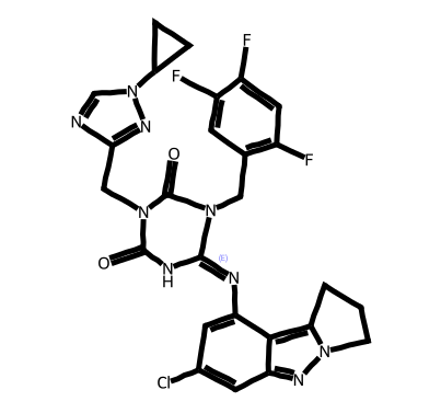 O=c1[nH]/c(=N\c2cc(Cl)cc3nn4c(c23)CCC4)n(Cc2cc(F)c(F)cc2F)c(=O)n1Cc1ncn(C2CC2)n1